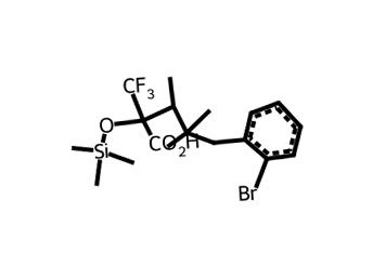 CC(C(C)(C)Cc1ccccc1Br)C(O[Si](C)(C)C)(C(=O)O)C(F)(F)F